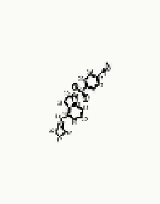 N#Cc1ccc(S(=O)(=O)n2ccc3c(CN4CCC4)cccc32)cc1